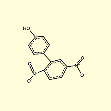 O=[N+]([O-])c1ccc([N+](=O)[O-])c(-c2ccc(O)cc2)c1